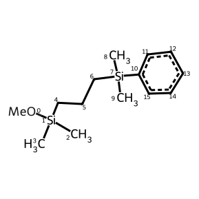 CO[Si](C)(C)CCC[Si](C)(C)c1ccccc1